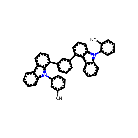 N#Cc1cccc(-n2c3ccccc3c3cccc(-c4cccc(-c5cccc6c5c5ccccc5n6-c5ccccc5C#N)c4)c32)c1